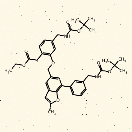 CCOC(=O)Cc1ccc(CNC(=O)OC(C)(C)C)cc1OCc1cc(-c2cccc(CNC(=O)OC(C)(C)C)c2)c2oc(C)cc2c1